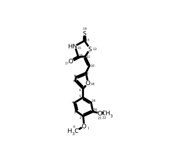 COc1ccc(-c2ccc(/C=C3/SC(=S)NC3=O)o2)cc1OC